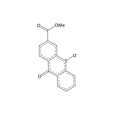 COC(=O)c1ccc2c(=O)c3ccccc3[s+]([O-])c2c1